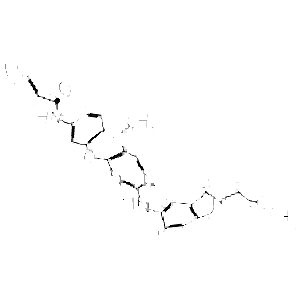 C=CC(=O)Nc1cccc(Oc2nc(Nc3ccc4c(c3)CN(CCOC)C4)ncc2OC)c1